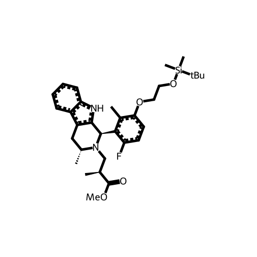 COC(=O)[C@@H](C)CN1[C@H](c2c(F)ccc(OCCO[Si](C)(C)C(C)(C)C)c2C)c2[nH]c3ccccc3c2C[C@H]1C